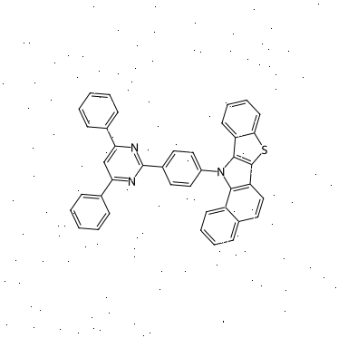 c1ccc(-c2cc(-c3ccccc3)nc(-c3ccc(-n4c5c6ccccc6ccc5c5sc6ccccc6c54)cc3)n2)cc1